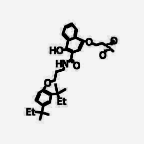 CCC(C)(C)c1ccc(OCCCNC(=O)c2cc(OCCS(C)(=O)=O)c3ccccc3c2O)c(C(C)(C)CC)c1